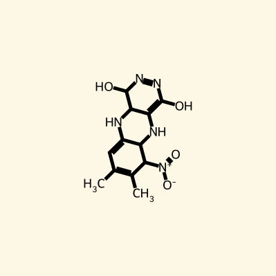 CC1=C(C)C([N+](=O)[O-])C2NC3=C(O)N=NC(O)C3NC2=C1